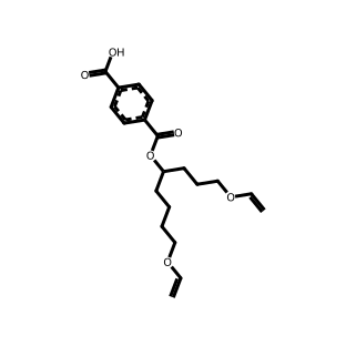 C=COCCCCC(CCCOC=C)OC(=O)c1ccc(C(=O)O)cc1